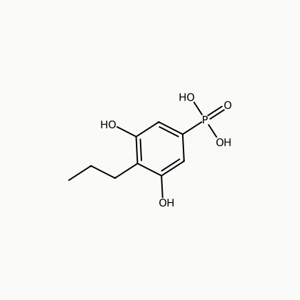 CCCc1c(O)cc(P(=O)(O)O)cc1O